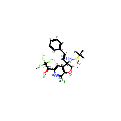 CC(C)(C)[S+]([O-])NC1(/C=C/c2ccccc2)COc2c1cc(C(=O)C(F)(F)F)nc2Cl